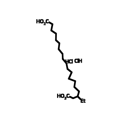 CCC(CCCCCCCCCCCCCCCC(=O)O)CC(=O)O.Cl.Cl